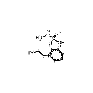 CC(C)CC[n+]1ccccc1.COS(=O)(=O)O